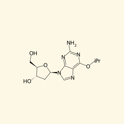 CC(C)Oc1nc(N)nc2c1ncn2[C@H]1C[C@H](O)[C@@H](CO)O1